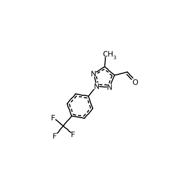 Cc1nn(-c2ccc(C(F)(F)F)cc2)nc1C=O